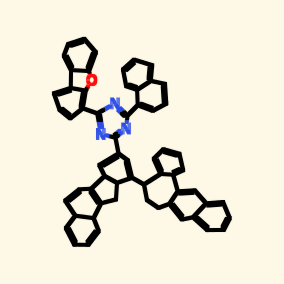 C1=CC2C=CC3=C(CC4C(C5CCc6cc7ccccc7cc6-c6ccccc65)=CC(c5nc(-c6cccc7ccccc67)nc(-c6cccc7c6oc6ccccc67)n5)=CC34)C2C=C1